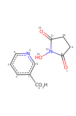 O=C(O)c1cccnc1.O=C1CCC(=O)N1O